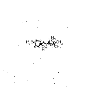 CN1CCC(O)(CNC(=O)OC(C)(C)C)CC1